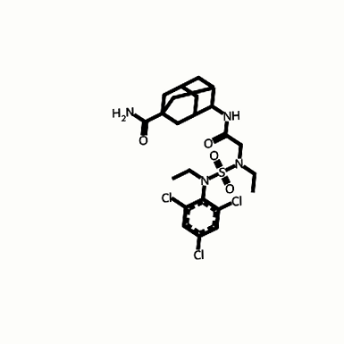 CCN(CC(=O)NC1C2CC3CC1CC(C(N)=O)(C3)C2)S(=O)(=O)N(CC)c1c(Cl)cc(Cl)cc1Cl